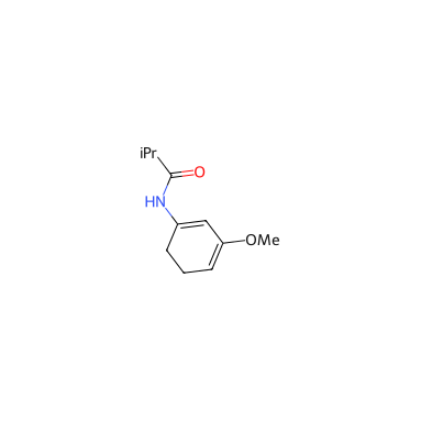 COC1=CCCC(NC(=O)C(C)C)=C1